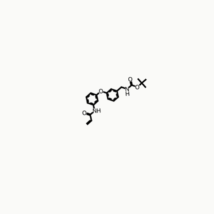 C=CC(=O)Nc1cccc(Oc2cccc(CNC(=O)OC(C)(C)C)c2)c1